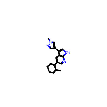 CC1CCCCC1c1cnc2[nH]cc(-c3cnn(C)c3)c2c1